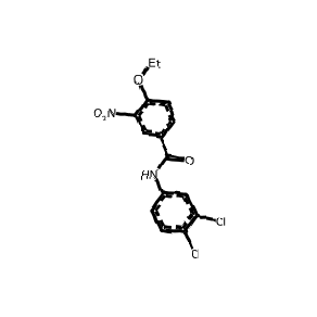 CCOc1ccc(C(=O)Nc2ccc(Cl)c(Cl)c2)cc1[N+](=O)[O-]